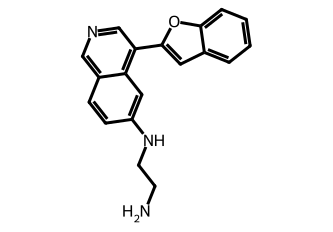 NCCNc1ccc2cncc(-c3cc4ccccc4o3)c2c1